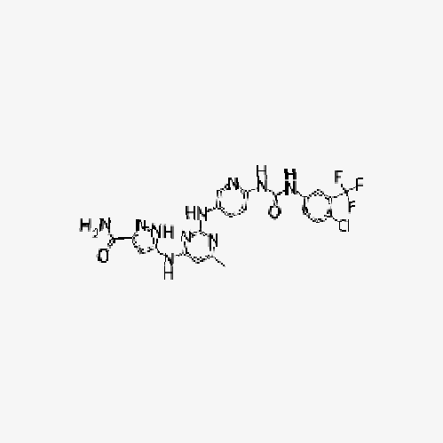 Cc1cc(Nc2cc(C(N)=O)n[nH]2)nc(Nc2ccc(NC(=O)Nc3ccc(Cl)c(C(F)(F)F)c3)nc2)n1